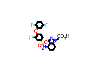 CN(C1CCCc2c1cnn2CC(=O)O)S(=O)(=O)c1ccc(Oc2cc(F)ccc2F)c(Cl)c1